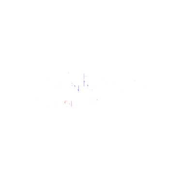 C/C(=N\NC(=O)C1CC1c1ccccc1)c1ccccc1O